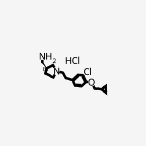 Cl.NC[C@@H]1CCN(CCc2ccc(OCC3CC3)c(Cl)c2)C1